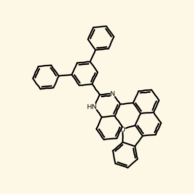 C1=CC2=C(c3cccc4ccc5c6ccccc6oc5c34)N=C(c3cc(-c4ccccc4)cc(-c4ccccc4)c3)NC2C=C1